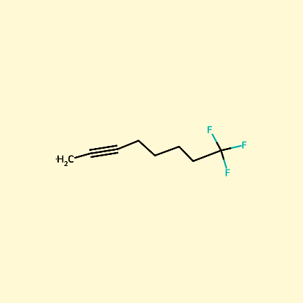 [CH2]C#CCCCCC(F)(F)F